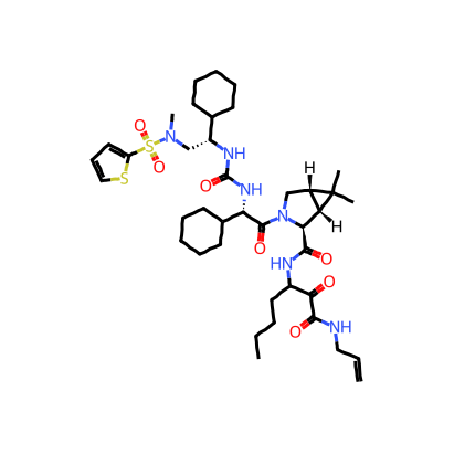 C=CCNC(=O)C(=O)C(CCCC)NC(=O)[C@@H]1[C@@H]2[C@H](CN1C(=O)[C@@H](NC(=O)N[C@H](CN(C)S(=O)(=O)c1cccs1)C1CCCCC1)C1CCCCC1)C2(C)C